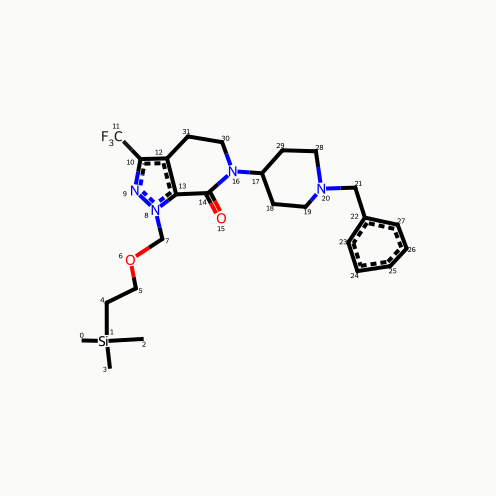 C[Si](C)(C)CCOCn1nc(C(F)(F)F)c2c1C(=O)N(C1CCN(Cc3ccccc3)CC1)CC2